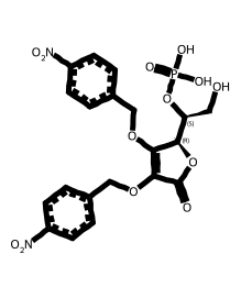 O=C1O[C@H]([C@H](CO)OP(=O)(O)O)C(OCc2ccc([N+](=O)[O-])cc2)=C1OCc1ccc([N+](=O)[O-])cc1